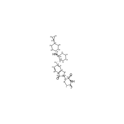 C=C1CCC(N2Cc3cc(C[C@H]4CCCC[C@@H]4N[C@H]4CC[C@H](C5CC5)CC4)ccc3C2=O)C(=O)N1